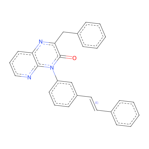 O=c1c(Cc2ccccc2)nc2cccnc2n1-c1cccc(/C=C/c2ccccc2)c1